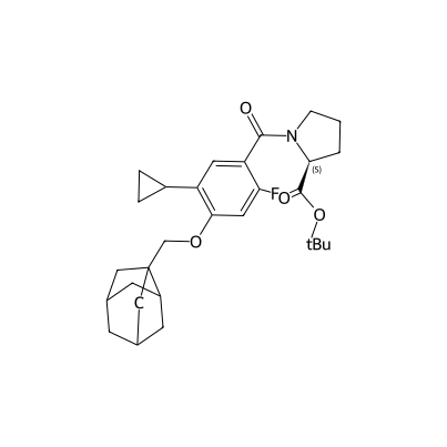 CC(C)(C)OC(=O)[C@@H]1CCCN1C(=O)c1cc(C2CC2)c(OCC23CC4CC(CC2C4)C3)cc1F